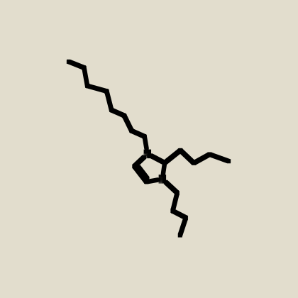 CCCCCCCCN1C=CN(CCCC)C1CCCC